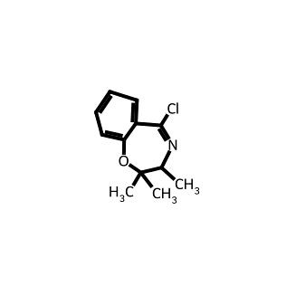 CC1N=C(Cl)c2ccccc2OC1(C)C